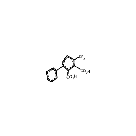 O=C(O)c1c(-c2ccccc2)ccc(C(F)(F)F)c1C(=O)O